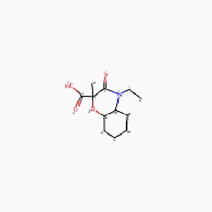 CCN1C(=O)C(C)(C(=O)O)OC2CCCCC21